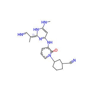 CNC1=CC(Nc2cccn(C3CCCC(C#N)C3)c2=O)=N/C(=C(\C)C=N)N1